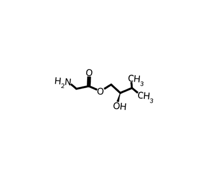 CC(C)[C@@H](O)COC(=O)CN